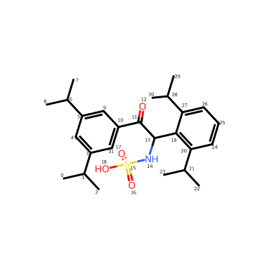 CC(C)c1[c]c(C(C)C)cc(C(=O)C(NS(=O)(=O)O)c2c(C(C)C)cccc2C(C)C)c1